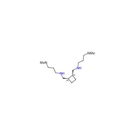 CNCCCNC[C@H]1CC[C@H]1CNCCCNC